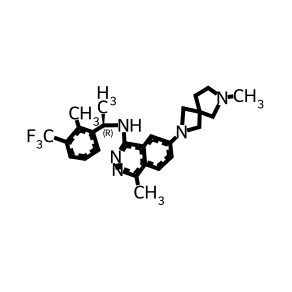 Cc1c([C@@H](C)Nc2nnc(C)c3ccc(N4CC5(CCN(C)C5)C4)cc23)cccc1C(F)(F)F